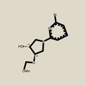 COCO[C@@H]1CN(c2cccc(Br)n2)C[C@H]1O